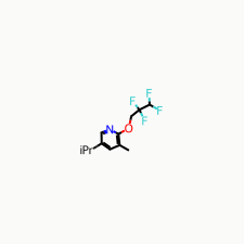 Cc1cc(C(C)C)cnc1OCC(F)(F)C(F)F